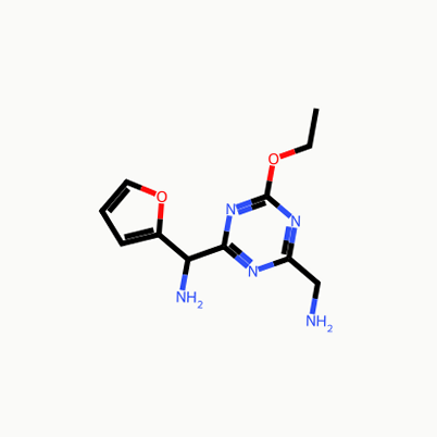 CCOc1nc(CN)nc(C(N)c2ccco2)n1